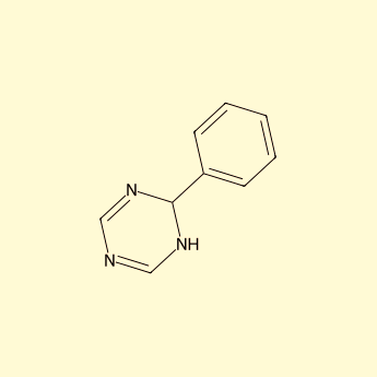 C1=NC=NC(c2ccccc2)N1